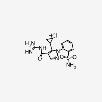 Cl.N=C(N)NC(=O)c1cnn(-c2ccccc2S(N)(=O)=O)c1C1CC1